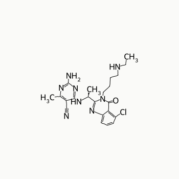 CCNCCCCn1c([C@H](C)Nc2nc(N)nc(C)c2C#N)nc2cccc(Cl)c2c1=O